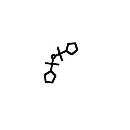 CC(C)(OC(C)(C)C1CCCC1)C1CCCC1